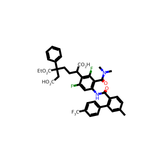 CCOC(=O)C(CCC(C(=O)O)c1c(F)cc(NC(=O)c2ccc(C)cc2-c2ccc(C(F)(F)F)cc2)c(C(=O)N(C)C)c1F)(CC(=O)O)c1ccccc1